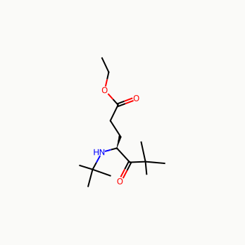 CCOC(=O)CC[C@H](NC(C)(C)C)C(=O)C(C)(C)C